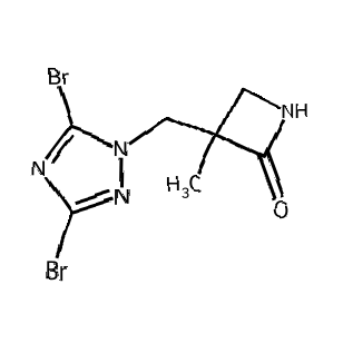 CC1(Cn2nc(Br)nc2Br)CNC1=O